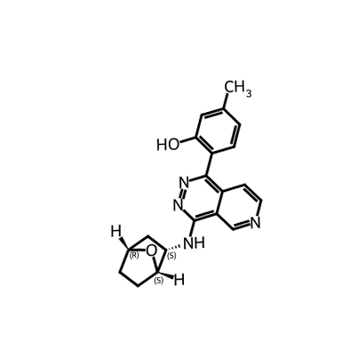 Cc1ccc(-c2nnc(N[C@H]3C[C@H]4CC[C@@H]3O4)c3cnccc23)c(O)c1